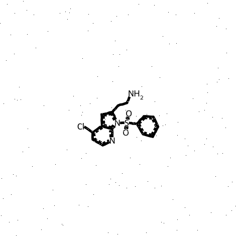 NCCc1cc2c(Cl)ccnc2n1S(=O)(=O)c1ccccc1